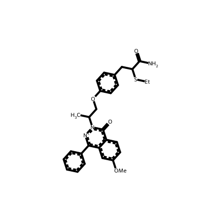 CCSC(Cc1ccc(OCC(C)n2nc(-c3ccccc3)c3cc(OC)ccc3c2=O)cc1)C(N)=O